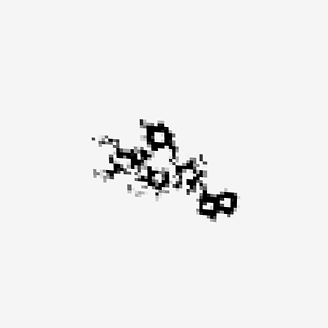 COc1nc(N)nc2c1ncn2C1O[C@H](COP(=O)(NC(C)C(=O)OCc2ccc(F)cc2F)Oc2cccc3ccccc23)[C@@H](F)[C@@]1(C)O